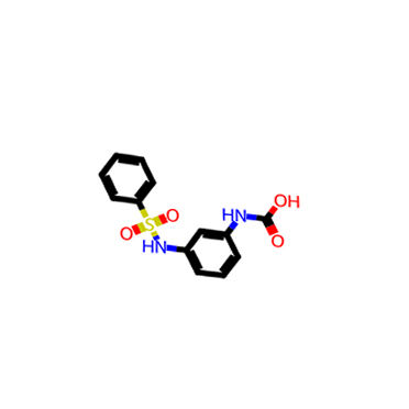 O=C(O)Nc1cccc(NS(=O)(=O)c2ccccc2)c1